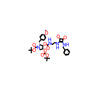 COc1ccc(C[C@@H]2[C@H](OC(=O)NCCNc3c(NCc4ccccc4)c(=O)c3=O)[C@@H](OC(=O)OC(C)(C)C)CN2C(=O)OC(C)(C)C)cc1